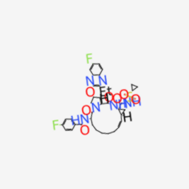 CCc1nc2ccc(F)cc2nc1O[C@@H]1C[C@H]2C(=O)N[C@]3(C(=O)NS(=O)(=O)C4CC4)C[C@H]3C=CCCCCC[C@H](NC(=O)c3ccc(F)cc3)C(=O)N2C1